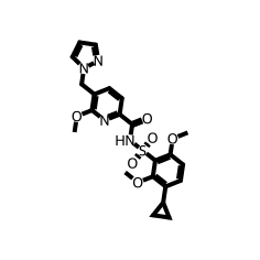 COc1ccc(C2CC2)c(OC)c1S(=O)(=O)NC(=O)c1ccc(Cn2cccn2)c(OC)n1